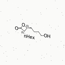 CCCCCC[C@@H]1C(=O)O[C@H]1CCCCO